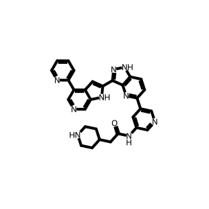 O=C(CC1CCNCC1)Nc1cncc(-c2ccc3[nH]nc(-c4cc5c(-c6ccccn6)cncc5[nH]4)c3n2)c1